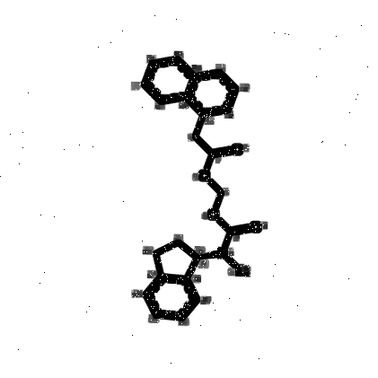 CCN(C(=O)OCOC(=O)Cc1cccc2ccccc12)[C@@H]1CCc2ccccc21